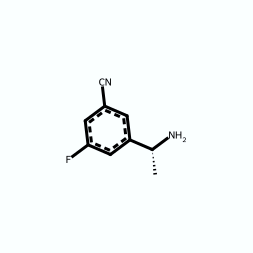 C[C@@H](N)c1cc(F)cc(C#N)c1